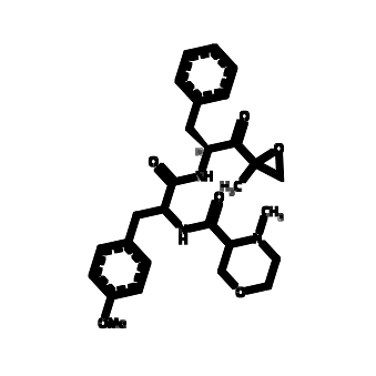 COc1ccc(CC(NC(=O)C2COCCN2C)C(=O)N[C@@H](Cc2ccccc2)C(=O)C2(C)CO2)cc1